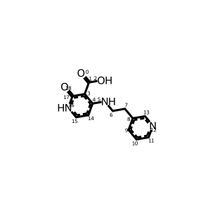 O=C(O)c1c(NCCc2cccnc2)cc[nH]c1=O